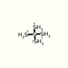 [SiH2][Si]([SiH3])([SiH3])[SiH3]